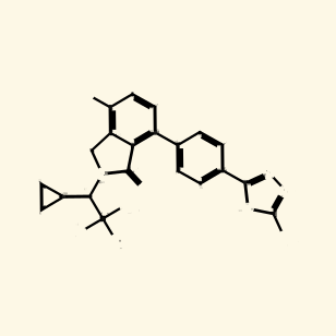 Cc1nnc(-c2ccc(-c3ccc(O)c4c3C(=O)N(C(C3CC3)C(C)(C)O)C4)cc2)o1